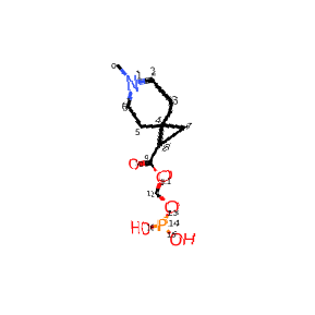 CN1CCC2(CC1)CC2C(=O)OCOP(O)O